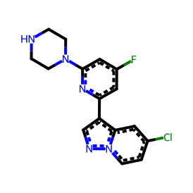 Fc1cc(-c2cnn3ccc(Cl)cc23)nc(N2CCNCC2)c1